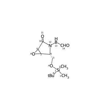 CC(C)(C)[Si](C)(C)OC[C@@H]1C2OC2C(=O)N1BC=O